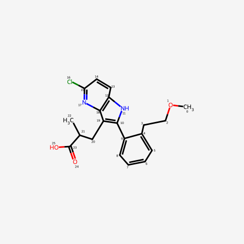 COCCc1ccccc1-c1[nH]c2ccc(Cl)nc2c1CC(C)C(=O)O